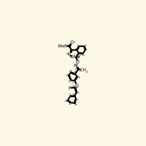 CNC(=O)/C(=N/OC)c1ccccc1CO/N=C(\C)c1cccc(OC(F)=Cc2ccccc2)c1